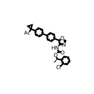 CC(=O)C1(c2ccc(-c3ccc(-c4ocnc4NC(=O)O[C@H](C)c4ccccc4Cl)cc3)cc2)CC1